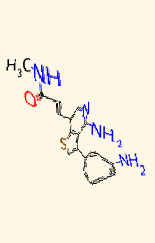 CNC(=O)C=Cc1cnc(N)c2c(-c3cccc(N)c3)csc12